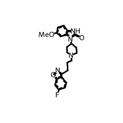 COc1ccc2[nH]c(=O)n(C3CCN(CCCc4noc5cc(F)ccc45)CC3)c2c1